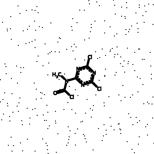 CN(C(=O)Cl)c1nc(Cl)nc(Cl)n1